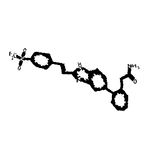 NC(=O)Cc1ccccc1-c1ccc2[nH]c(C=Cc3ccc(S(=O)(=O)C(F)(F)F)cc3)nc2c1